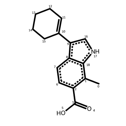 Cc1c(C(=O)O)ccc2c(C3=CCCCC3)c[nH]c12